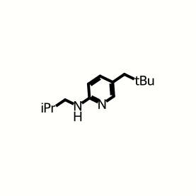 CC(C)CNc1ccc(CC(C)(C)C)cn1